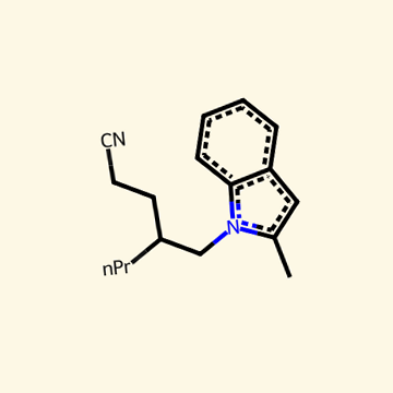 CCCC(CCC#N)Cn1c(C)cc2ccccc21